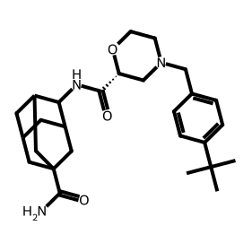 CC(C)(C)c1ccc(CN2CCO[C@@H](C(=O)NC3C4CC5CC3CC(C(N)=O)(C5)C4)C2)cc1